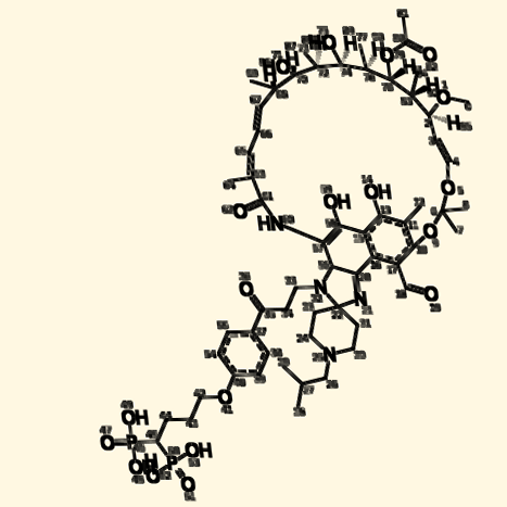 CO[C@H]1/C=C/OC(C)(C)Oc2c(C)c(O)c3c(c2C=O)C2=NC4(CCN(CC(C)C)CC4)N(CCC(=O)c4ccc(OCCCC(P(=O)(O)O)P(=O)(O)O)cc4)C2C(=C3O)NC(=O)/C(C)=C\C=C\[C@H](C)[C@H](O)[C@@H](C)[C@@H](O)[C@@H](C)[C@H](OC(C)=O)[C@@H]1C